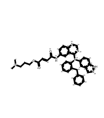 CN(C)CCCOC(=O)C=CC(=O)Nc1ccc2ncnc(N(c3ccc4[nH]ncc4c3)c3ccccc3Cc3ccccc3)c2c1